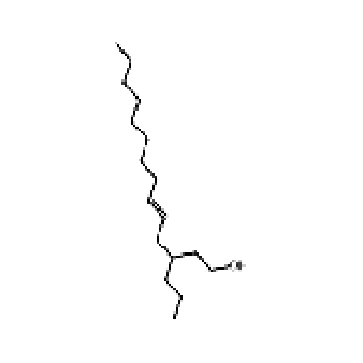 CCCCCCCCC=CCC(CCC)CCO